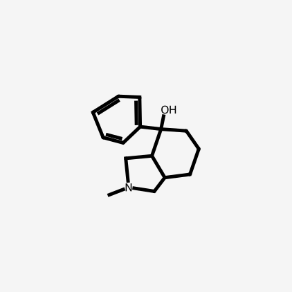 CN1CC2CCCC(O)(c3ccccc3)C2C1